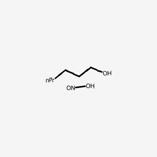 CCCCCCO.O=NO